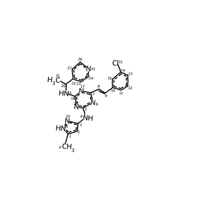 Cc1cc(Nc2nc(/C=C/c3cccc(Cl)c3)nc(NC(C)c3ccncc3)n2)n[nH]1